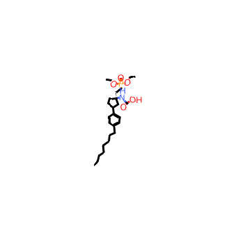 CCCCCCCCc1ccc(C2CC[C@@](CCP(=O)(OCC)OCC)(NC(=O)O)C2)cc1